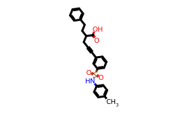 Cc1ccc(NS(=O)(=O)c2cccc(C#CCC(CCc3ccccc3)C(=O)O)c2)cc1